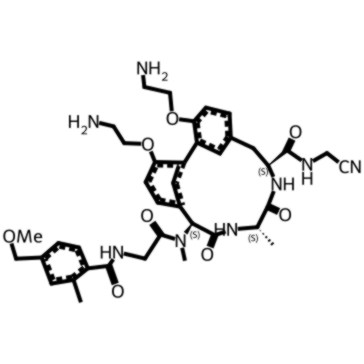 COCc1ccc(C(=O)NCC(=O)N(C)[C@@H]2C(=O)N[C@@H](C)C(=O)N[C@H](C(=O)NCC#N)Cc3ccc(OCCN)c(c3)-c3cc2ccc3OCCN)c(C)c1